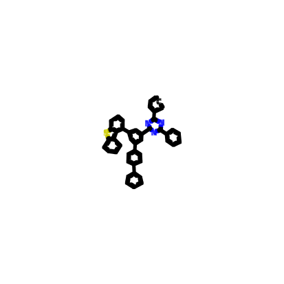 c1ccc(-c2ccc(-c3cc(-c4nc(-c5ccccc5)nc(-c5ccccc5)n4)cc(-c4cccc5sc6ccccc6c45)c3)cc2)cc1